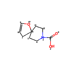 O=C(O)N1CCC2(CC=CO2)CC1